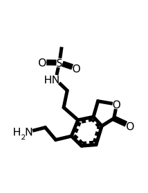 CS(=O)(=O)NCCc1c(CCN)ccc2c1COC2=O